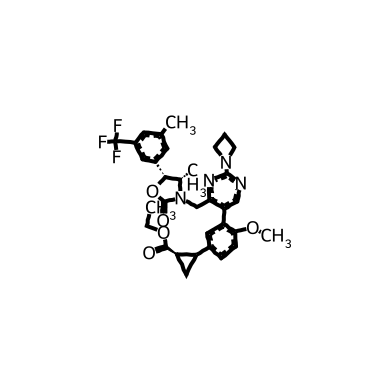 CCOC(=O)[C@@H]1CC1c1ccc(OC)c(-c2cnc(N3CCC3)nc2CN2C(=O)O[C@H](c3cc(C)cc(C(F)(F)F)c3)[C@@H]2C)c1